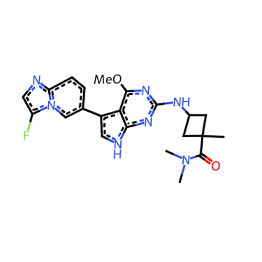 COc1nc(NC2CC(C)(C(=O)N(C)C)C2)nc2[nH]cc(-c3ccc4ncc(F)n4c3)c12